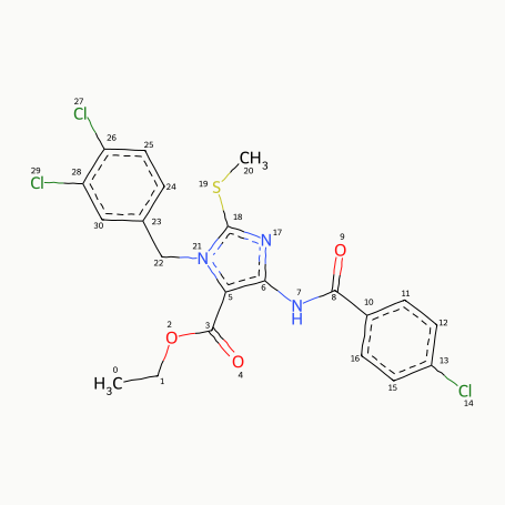 CCOC(=O)c1c(NC(=O)c2ccc(Cl)cc2)nc(SC)n1Cc1ccc(Cl)c(Cl)c1